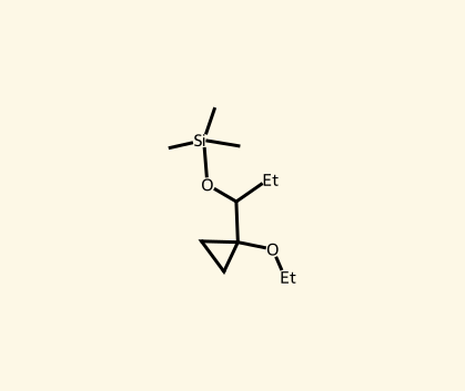 CCOC1(C(CC)O[Si](C)(C)C)CC1